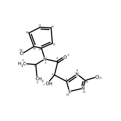 CC(C)N(C(=O)C(O)c1nc(Cl)ns1)c1ccccc1Cl